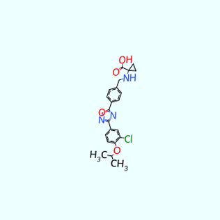 CC(C)Oc1ccc(-c2noc(-c3ccc(CNC4(C(=O)O)CC4)cc3)n2)cc1Cl